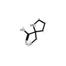 NCC1(C(=O)O)CCCN1